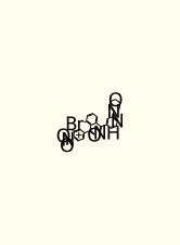 N=C(c1ccnc(N2CCOCC2)c1)c1cccc(Br)c1C(=O)c1ccc([N+](=O)[O-])cc1